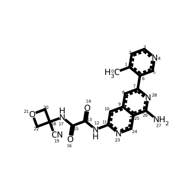 Cc1ccncc1-c1cc2cc(NC(=O)C(=O)NC3(C#N)COC3)ncc2c(N)n1